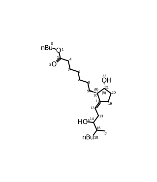 CCCCOC(=O)CCCCCC[C@@H]1C(=CCC(O)C(C)CCCC)CC[C@H]1O